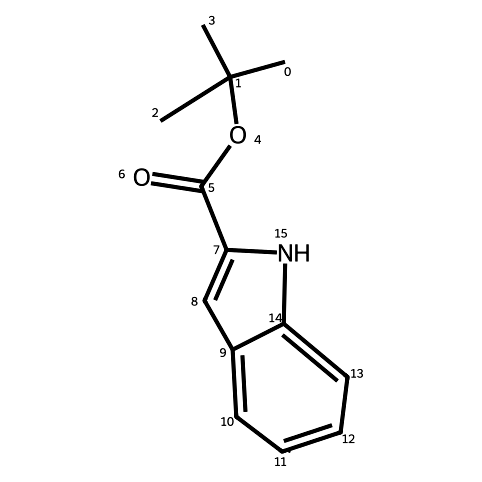 CC(C)(C)OC(=O)c1cc2c[c]ccc2[nH]1